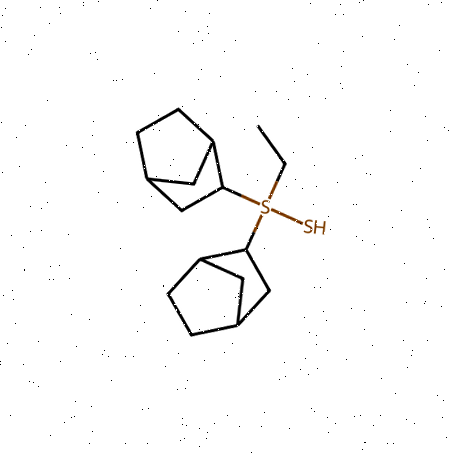 CCS(S)(C1CC2CCC1C2)C1CC2CCC1C2